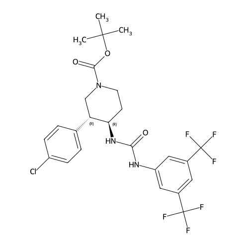 CC(C)(C)OC(=O)N1CC[C@@H](NC(=O)Nc2cc(C(F)(F)F)cc(C(F)(F)F)c2)[C@H](c2ccc(Cl)cc2)C1